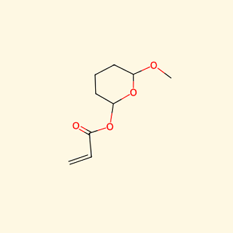 C=CC(=O)OC1CCCC(OC)O1